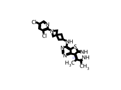 CC(=N)/C(C)=C1\C(=N)Sc2c(NC3CC4(C3)CN(c3ncc(Cl)cc3Cl)C4)ncnc21